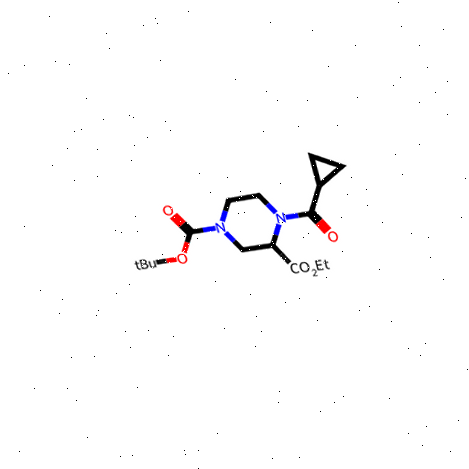 CCOC(=O)C1CN(C(=O)OC(C)(C)C)CCN1C(=O)C1CC1